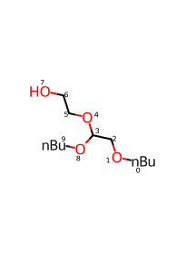 CCCCOCC(OCCO)OCCCC